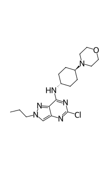 CCCn1cc2nc(Cl)nc(N[C@H]3CC[C@H](N4CCOCC4)CC3)c2n1